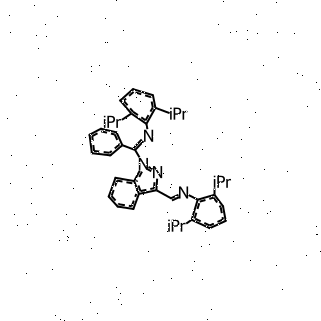 CC(C)c1cccc(C(C)C)c1/N=C/c1nn(/C(=N/c2c(C(C)C)cccc2C(C)C)c2ccccc2)c2ccccc12